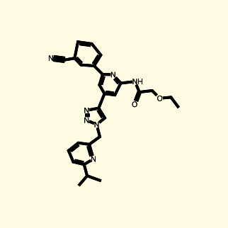 CCOCC(=O)Nc1cc(-c2cn(Cc3cccc(C(C)C)n3)nn2)cc(-c2cccc(C#N)c2)n1